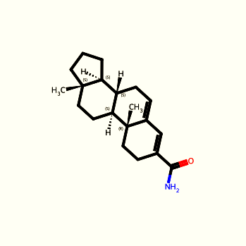 C[C@@]12CCC[C@H]1[C@@H]1CC=C3C=C(C(N)=O)CC[C@]3(C)[C@H]1CC2